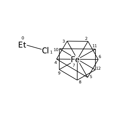 CCCl.[CH]12[CH]3[CH]4[CH]5[CH]1[Fe]23451678[CH]2[CH]1[CH]6[CH]7[CH]28